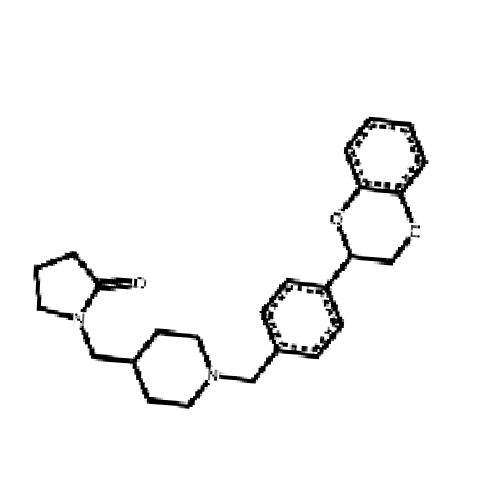 O=C1CCCN1CC1CCN(Cc2ccc(C3COc4ccccc4O3)cc2)CC1